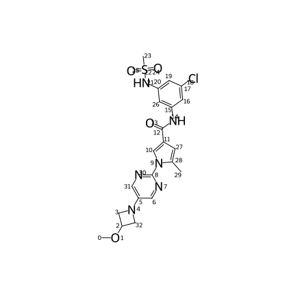 COC1CN(c2cnc(-n3cc(C(=O)Nc4cc(Cl)cc(NS(C)(=O)=O)c4)cc3C)nc2)C1